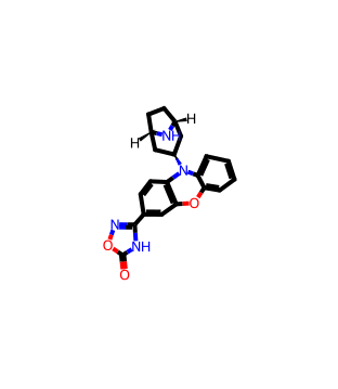 O=c1[nH]c(-c2ccc3c(c2)Oc2ccccc2N3[C@@H]2C[C@H]3CC[C@@H](C2)N3)no1